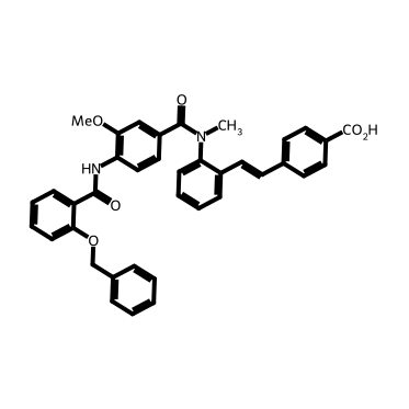 COc1cc(C(=O)N(C)c2ccccc2/C=C/c2ccc(C(=O)O)cc2)ccc1NC(=O)c1ccccc1OCc1ccccc1